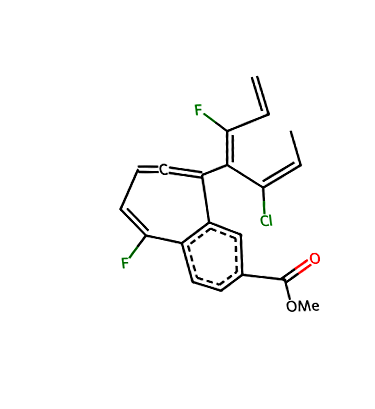 C=C/C(F)=C(C1=C=CC=C(F)c2ccc(C(=O)OC)cc21)\C(Cl)=C/C